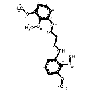 COc1cccc(PCCCPc2cccc(OC)c2OC)c1OC